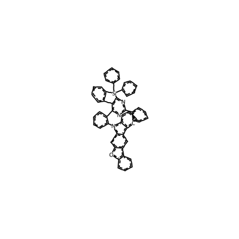 c1ccc(-c2nc(-c3ccccc3-n3c4ccccc4c4cc5c(cc43)oc3ccccc35)c3c(n2)[Si](c2ccccc2)(c2ccccc2)c2ccccc2-3)cc1